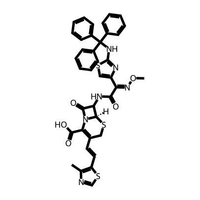 CO/N=C(/C(=O)NC1C(=O)N2C(C(=O)O)=C(/C=C/c3scnc3C)CS[C@H]12)c1csc(NC(c2ccccc2)(c2ccccc2)c2ccccc2)n1